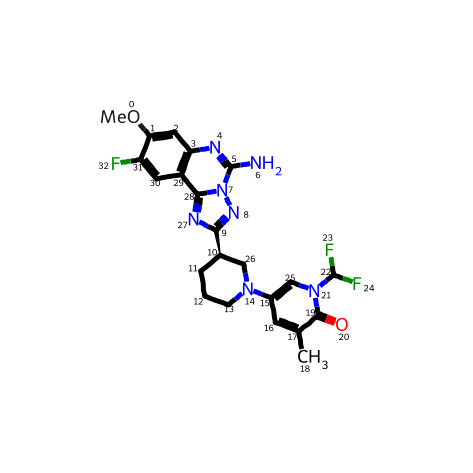 COc1cc2nc(N)n3nc([C@@H]4CCCN(c5cc(C)c(=O)n(C(F)F)c5)C4)nc3c2cc1F